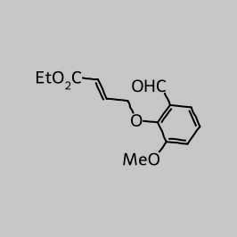 CCOC(=O)C=CCOc1c(C=O)cccc1OC